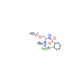 CC(C)(C)NC(COC(=O)O)NS(=O)(=O)c1ccccc1Br.Cl